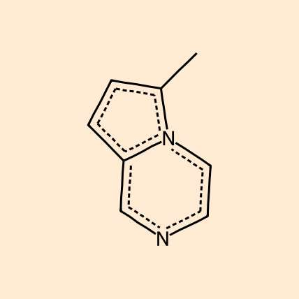 Cc1ccc2cnccn12